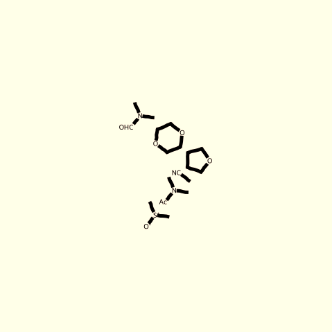 C1CCOC1.C1COCCO1.CC#N.CC(=O)N(C)C.CN(C)C=O.C[S+](C)[O-]